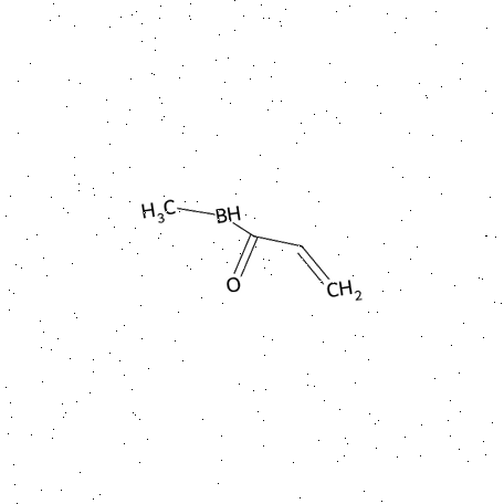 C=CC(=O)BC